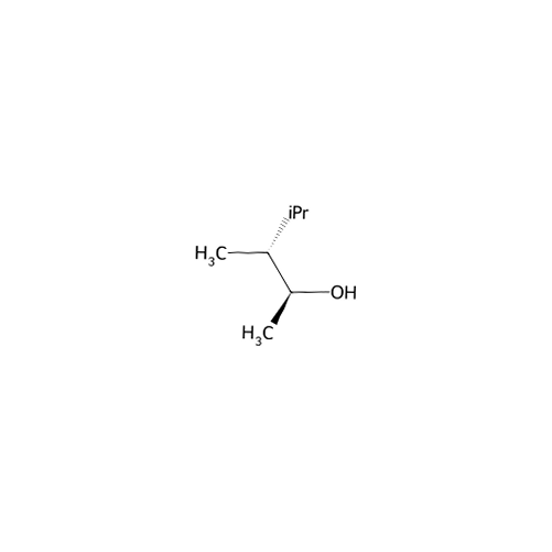 CC(C)[C@@H](C)[C@H](C)O